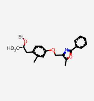 CCO[C@@H](Cc1ccc(OCc2nc(-c3ccccc3)oc2C)cc1C)C(=O)O